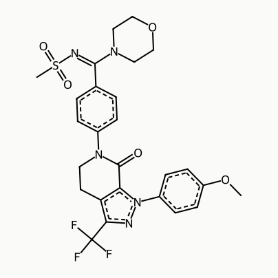 COc1ccc(-n2nc(C(F)(F)F)c3c2C(=O)N(c2ccc(/C(=N\S(C)(=O)=O)N4CCOCC4)cc2)CC3)cc1